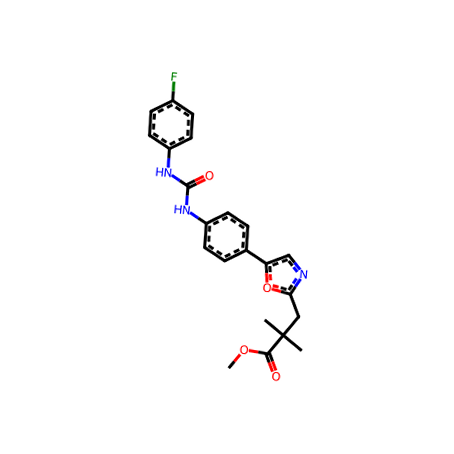 COC(=O)C(C)(C)Cc1ncc(-c2ccc(NC(=O)Nc3ccc(F)cc3)cc2)o1